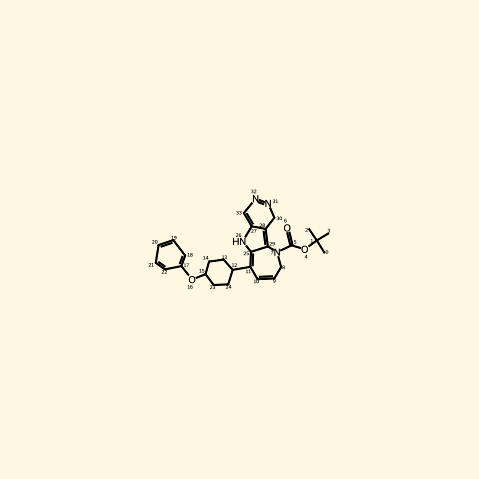 CC(C)(C)OC(=O)N1CC=CC(C2CCC(Oc3ccccc3)CC2)=c2[nH]c3c(c21)CN=NC=3